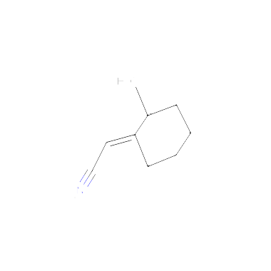 CC1CCCC/C1=C\C#N